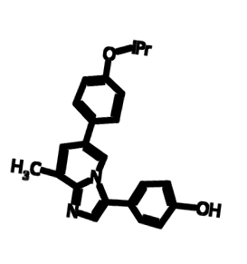 Cc1cc(-c2ccc(OC(C)C)cc2)cn2c(-c3ccc(O)cc3)cnc12